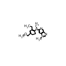 CCC1=C(N(C)c2cc3c(cn2)ncn3C)CCC(COC)=C1